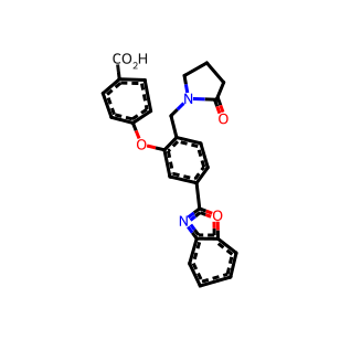 O=C(O)c1ccc(Oc2cc(-c3nc4ccccc4o3)ccc2CN2CCCC2=O)cc1